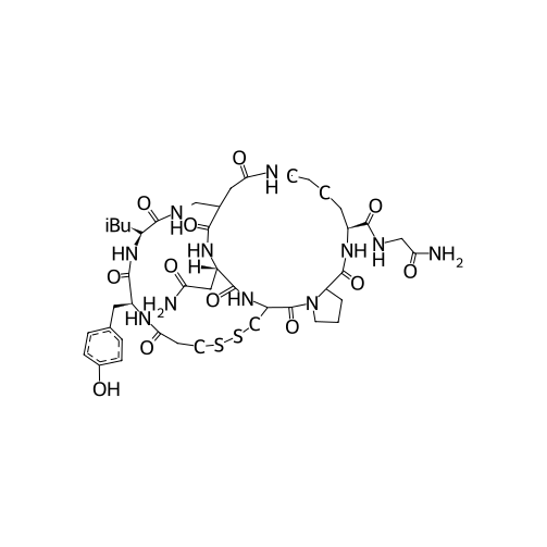 CC[C@H](C)[C@@H]1NC(=O)[C@H](Cc2ccc(O)cc2)NC(=O)CCSSCC2NC(=O)[C@H](CC(N)=O)NC(=O)C(CNC1=O)CC(=O)NCCCC[C@@H](C(=O)NCC(N)=O)NC(=O)C1CCCN1C2=O